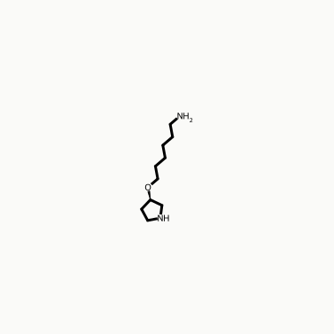 NCCCCCCO[C@@H]1CCNC1